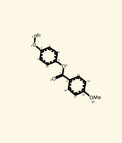 CCCOc1ccc(OC(=O)c2ccc(OC)cc2)cc1